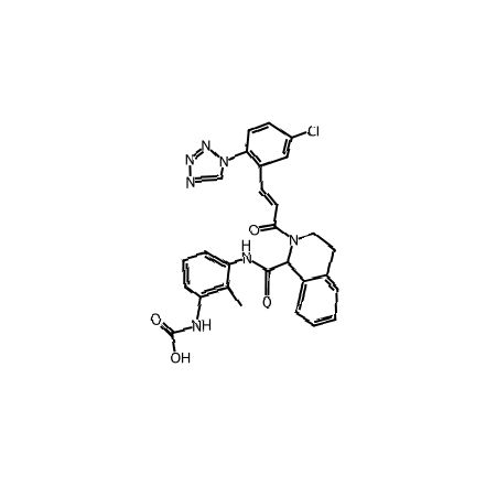 Cc1c(NC(=O)O)cccc1NC(=O)C1c2ccccc2CCN1C(=O)C=Cc1cc(Cl)ccc1-n1cnnn1